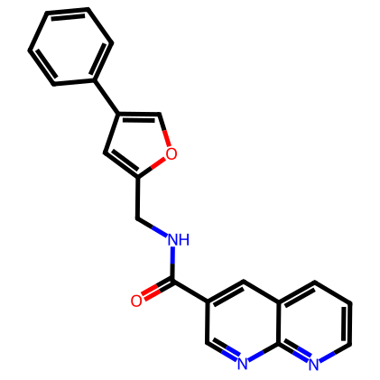 O=C(NCc1cc(-c2ccccc2)co1)c1cnc2ncccc2c1